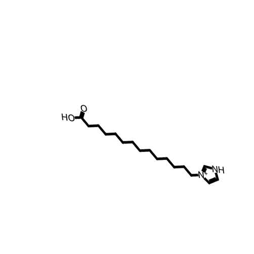 O=C(O)CCCCCCCCCCCCC[n+]1cc[nH]c1